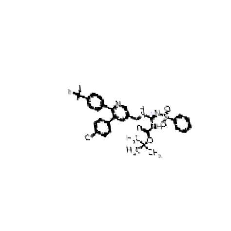 CC(C)(C)OC(=O)N/C(=N\S(=O)(=O)c1ccccc1)NCc1cnc(-c2ccc(C(F)(F)F)cc2)c(-c2ccc(Cl)cc2)c1